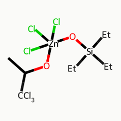 CC[Si](CC)(CC)[O][Zn]([Cl])([Cl])([Cl])[O]C(C)C(Cl)(Cl)Cl